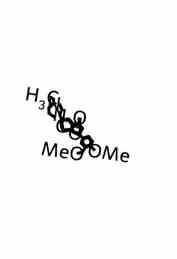 COCc1cc(-c2cc(=O)c3cc(N4CCCN(C)CC4)ccc3o2)ccc1OC